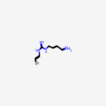 CC(C)C=CNC(=N)NCCCCN